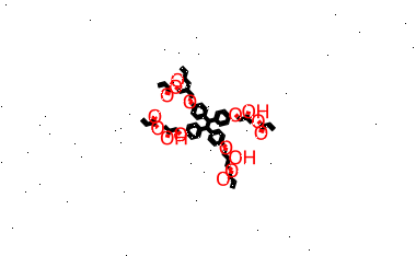 C=CC(=O)CC(COC(=O)C=C)COc1ccc(C(c2ccc(OCC(O)COC(=O)C=C)cc2)C(c2ccc(OCC(O)COC(=O)C=C)cc2)c2ccc(OCC(O)COC(=O)C=C)cc2)cc1